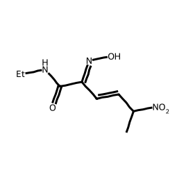 CCNC(=O)C(C=CC(C)[N+](=O)[O-])=NO